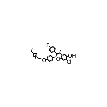 CCC1CN(CCOc2ccc(C3Oc4cc(Cl)c(O)cc4C(C)=C3c3ccc(F)cc3)cc2)C1